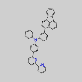 c1ccc(N(c2ccc(-c3cccc(-c4ccccn4)n3)cc2)c2cccc(-c3ccc4c5c(cccc35)-c3ccccc3-4)c2)cc1